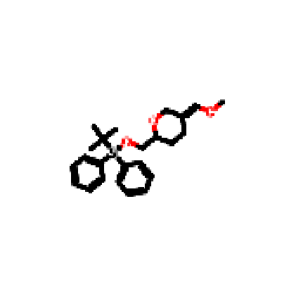 COC=C1CCC(CO[Si](c2ccccc2)(c2ccccc2)C(C)(C)C)OC1